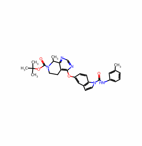 Cc1cccc(NC(=O)n2ccc3cc(Oc4ncnc5c4CCN(C(=O)OC(C)(C)C)C5C)ccc32)c1